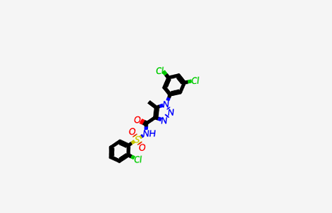 Cc1c(C(=O)NS(=O)(=O)c2ccccc2Cl)nnn1-c1cc(Cl)cc(Cl)c1